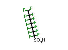 O=S(=O)(O)C(F)(F)C(F)(F)C(F)(F)C(F)(F)C(F)(F)C(F)(F)C(F)F